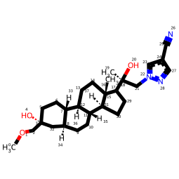 COC[C@@]1(O)CC[C@H]2[C@@H](CC[C@@H]3[C@@H]2CC[C@]2(C)C([C@@](C)(O)Cn4cc(C#N)cn4)CC[C@@H]32)C1